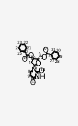 O=C(OC[C@@H]1O[C@H](n2ccc(=O)[nH]c2=O)C[C@@H]1OC(=O)c1ccccc1)c1ccccc1